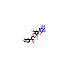 C=C1NC(=O)N(c2cc(Cl)c(Oc3cc(-c4ccn5cncc5c4)c(=O)[nH]n3)c(Cl)c2)N=C1N